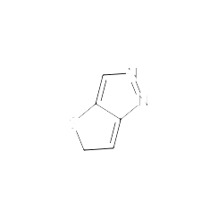 C1=C2N=NC=C2SC1